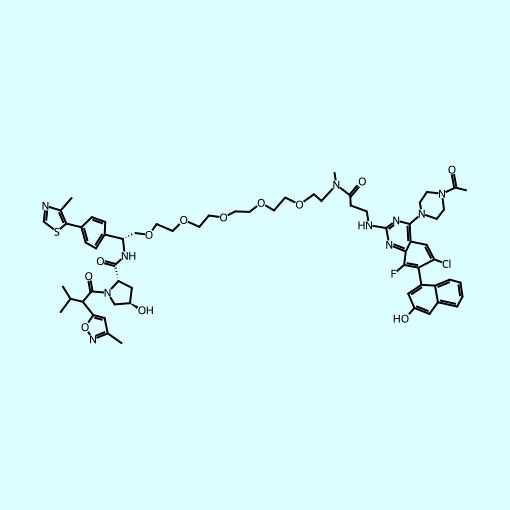 CC(=O)N1CCN(c2nc(NCCC(=O)N(C)CCOCCOCCOCCOCCOC[C@H](NC(=O)[C@@H]3C[C@@H](O)CN3C(=O)C(c3cc(C)no3)C(C)C)c3ccc(-c4scnc4C)cc3)nc3c(F)c(-c4cc(O)cc5ccccc45)c(Cl)cc23)CC1